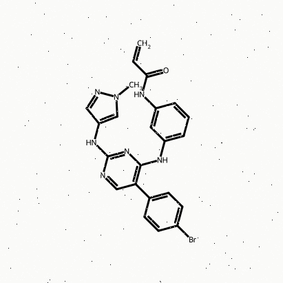 C=CC(=O)Nc1cccc(Nc2nc(Nc3cnn(C)c3)ncc2-c2ccc(Br)cc2)c1